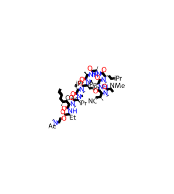 C/C=C/C[C@@H](C)[C@@H](OC(C)=O)[C@@H](C(=O)N[C@@H](CC)C(=O)OCCN(C)C(C)=O)N(C)C(=O)[C@H](C(C)C)N(C)C(=O)[C@H](CC(C)C)N(C)C(=O)[C@H](CC(C)C)N(C)C(=O)[C@@H](C)NC(=O)[C@H](C)NC(=O)[C@H](CCC(C)C)N(C)C(=O)[C@@H](NC(=O)[C@H]([C@H](C)CC#N)N(C)C(=O)[C@@H](C)NC)C(C)C